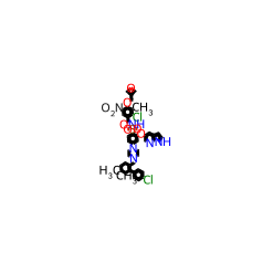 Cc1c(Cl)c(C(=O)NS(=O)(=O)c2ccc(N3CCN(CC4=C(c5ccc(Cl)cc5)CC(C)(C)CC4)CC3)cc2Oc2cnc3[nH]ccc3c2)cc([N+](=O)[O-])c1OCC1COC1